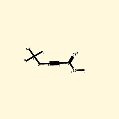 COC(=O)C#CCC(C)(C)C